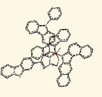 CC1C/C=C(c2c(-n3c4cc5ccccc5cc4c4c5ccccc5ccc43)c3c4ccccc4oc3c3ccccc23)/N=C(c2ccc3c(c2)sc2ccccc23)\N=C/1c1ccc2c(c1)c1ccccc1n2-c1ccccc1